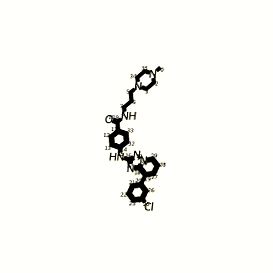 CN1CCN(CCCNC(=O)c2ccc(Nc3nc4c(-c5cccc(Cl)c5)cccn4n3)cc2)CC1